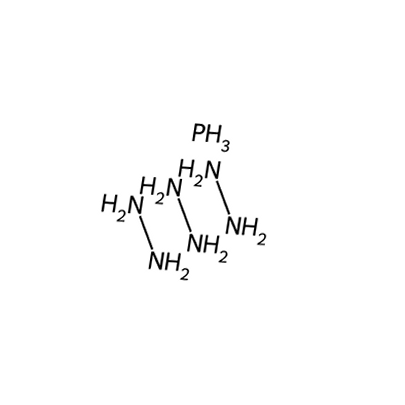 NN.NN.NN.P